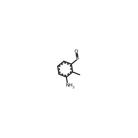 Cc1c(N)cccc1P=O